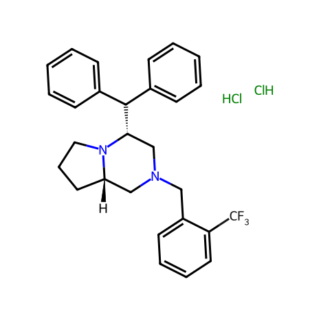 Cl.Cl.FC(F)(F)c1ccccc1CN1C[C@@H]2CCCN2[C@H](C(c2ccccc2)c2ccccc2)C1